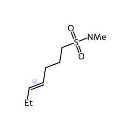 CC/C=C/CCCS(=O)(=O)NC